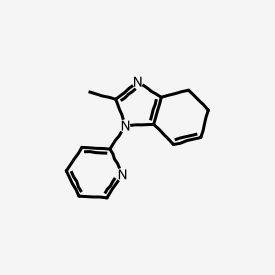 Cc1nc2c(n1-c1ccccn1)C=CCC2